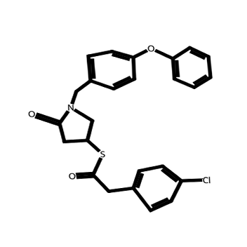 O=C(Cc1ccc(Cl)cc1)SC1CC(=O)N(Cc2ccc(Oc3ccccc3)cc2)C1